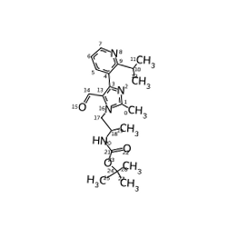 Cc1nc(-c2cccnc2C(C)C)c(C=O)n1CC(C)NC(=O)OC(C)(C)C